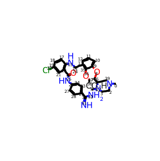 CN1CCN(C)C(COc2cccc(CNc3ccc(Cl)cc3C(=O)Nc3ccc(C(=N)N)cc3)c2OCC(=O)O)C1